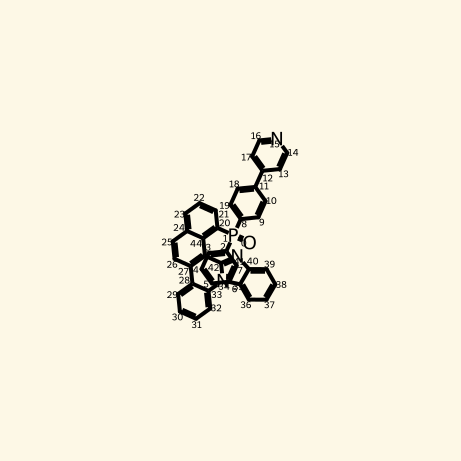 O=P(c1ccccc1)(c1ccc(-c2ccncc2)cc1)c1cccc2ccc3c4ccccc4n4c5ccccc5nc4c3c12